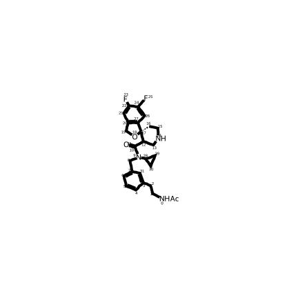 CC(=O)NCCc1cccc(CN(C(=O)C2CNCC[C@@]23OCc2cc(F)c(F)cc23)C2CC2)c1